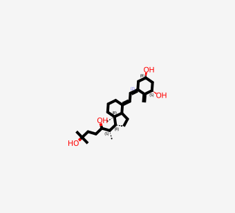 C=C1/C(=C\C=C2CCC[C@@]3(C)C2CC[C@@H]3[C@H](C)C(O)CCC(C)(C)O)C[C@@H](O)C[C@@H]1O